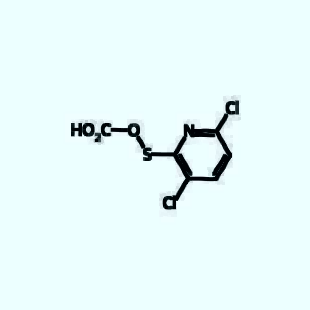 O=C(O)OSc1nc(Cl)ccc1Cl